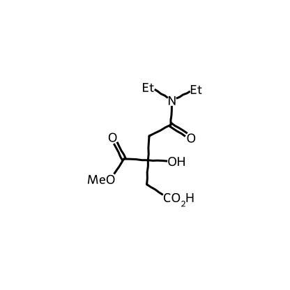 CCN(CC)C(=O)CC(O)(CC(=O)O)C(=O)OC